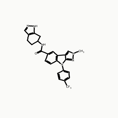 Cn1cc2c3cc(C(=O)NC4CCc5cn[nH]c5C4)ccc3n(-c3ccc(C(F)(F)F)cc3)c2n1